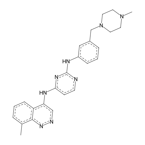 Cc1cccc2c(Nc3ccnc(Nc4cccc(CN5CCN(C)CC5)c4)n3)cnnc12